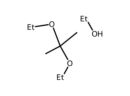 CCO.CCOC(C)(C)OCC